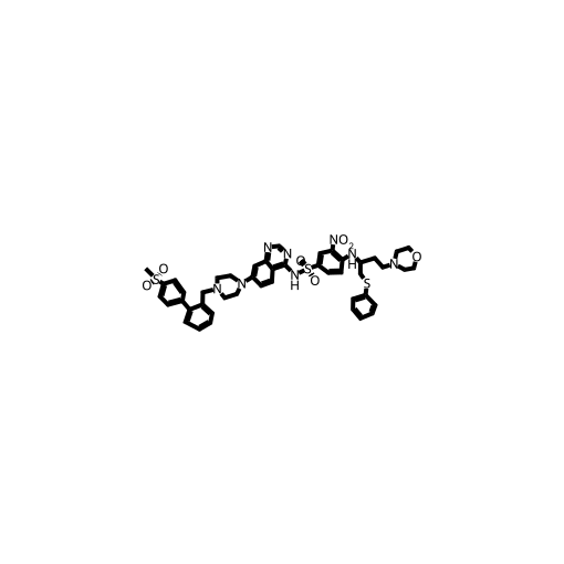 CS(=O)(=O)c1ccc(-c2ccccc2CN2CCN(c3ccc4c(NS(=O)(=O)c5ccc(NC(CCN6CCOCC6)CSc6ccccc6)c([N+](=O)[O-])c5)ncnc4c3)CC2)cc1